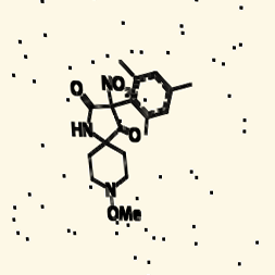 CON1CCC2(CC1)NC(=O)C(c1c(C)cc(C)cc1C)([N+](=O)[O-])C2=O